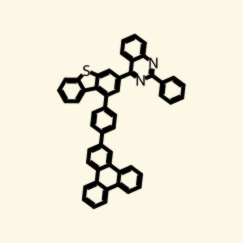 c1ccc(-c2nc(-c3cc(-c4ccc(-c5ccc6c7ccccc7c7ccccc7c6c5)cc4)c4c(c3)sc3ccccc34)c3ccccc3n2)cc1